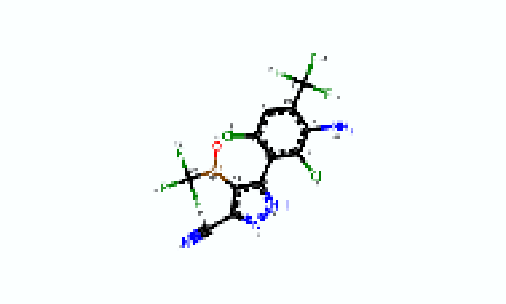 N#Cc1n[nH]c(-c2c(Cl)cc(C(F)(F)F)c(N)c2Cl)c1[S+]([O-])C(F)(F)F